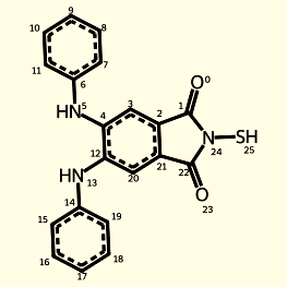 O=C1c2cc(Nc3ccccc3)c(Nc3ccccc3)cc2C(=O)N1S